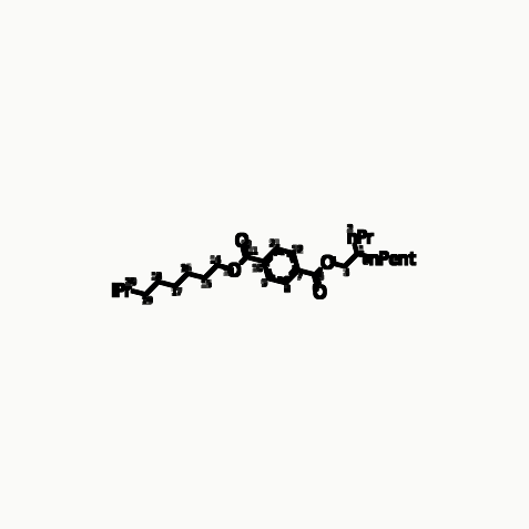 CCCCCC(CCC)COC(=O)c1ccc(C(=O)OCCCCCCC(C)C)cc1